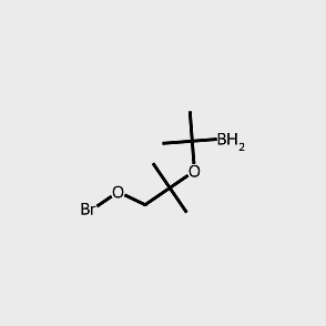 BC(C)(C)OC(C)(C)COBr